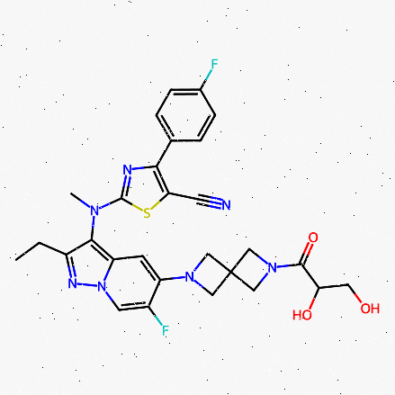 CCc1nn2cc(F)c(N3CC4(CN(C(=O)C(O)CO)C4)C3)cc2c1N(C)c1nc(-c2ccc(F)cc2)c(C#N)s1